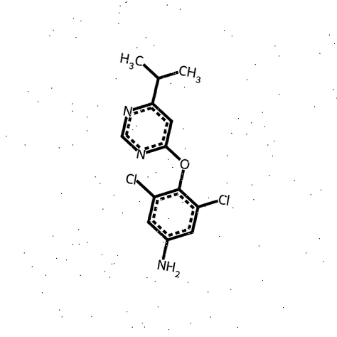 CC(C)c1cc(Oc2c(Cl)cc(N)cc2Cl)ncn1